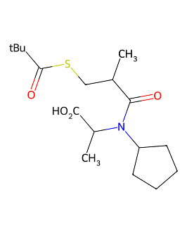 CC(CSC(=O)C(C)(C)C)C(=O)N(C1CCCC1)C(C)C(=O)O